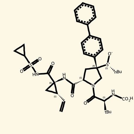 C=C[C@@H]1C[C@]1(NC(=O)[C@@H]1C[C@](c2ccc(-c3ccccc3)cc2)([S@+]([O-])CCCC)CN1C(=O)[C@@H](NC(=O)O)C(C)(C)C)C(=O)NS(=O)(=O)C1CC1